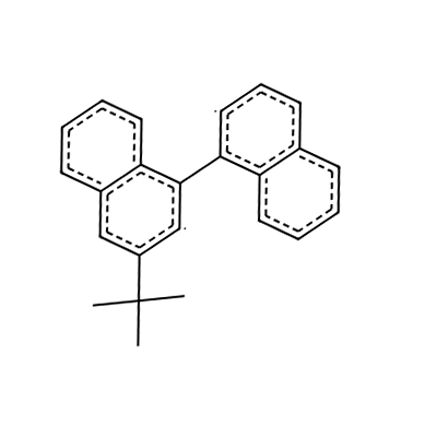 CC(C)(C)c1[c]c(-c2[c]ccc3ccccc23)c2ccccc2c1